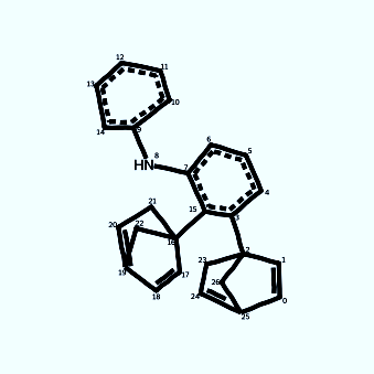 C1=CC2(c3cccc(Nc4ccccc4)c3C34C=CC(=CC3)C4)CC=C1C2